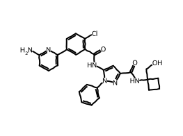 Nc1cccc(-c2ccc(Cl)c(C(=O)Nc3cc(C(=O)NC4(CO)CCC4)nn3-c3ccccc3)c2)n1